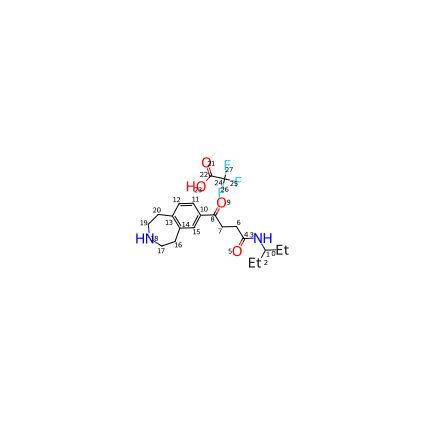 CCC(CC)NC(=O)CCC(=O)c1ccc2c(c1)CCNCC2.O=C(O)C(F)(F)F